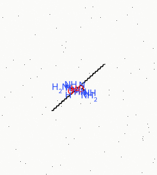 CCCCCCCC/C=C/CCCCCCCCN(CCCCN(CCCCCCCC/C=C/CCCCCCCC)CC(O)CNC(=N)N)CC(O)CNC(=N)N